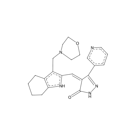 O=C1NN=C(c2cccnc2)C1=Cc1[nH]c2c(c1CN1CCOCC1)CCCC2